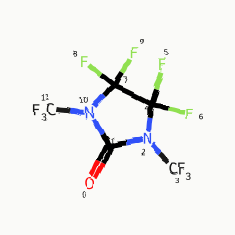 O=C1N(C(F)(F)F)C(F)(F)C(F)(F)N1C(F)(F)F